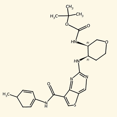 CC1C=CC(NC(=O)c2csc3cnc(N[C@@H]4CCOC[C@@H]4NC(=O)OC(C)(C)C)nc23)=CC1